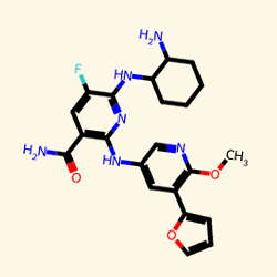 COc1ncc(Nc2nc(NC3CCCCC3N)c(F)cc2C(N)=O)cc1-c1ccco1